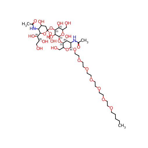 CCCCCOCCOCCOCCOCCOCCOCCO[C@@H]1OC(CO)[C@@H](O[C@@H]2OC(CO)[C@H](O)[C@H](OC3(OCO)CC(O)C(NC(C)=O)C([C@H](O)[C@H](O)CO)O3)C2O)[C@H](O)C1NC(C)=O